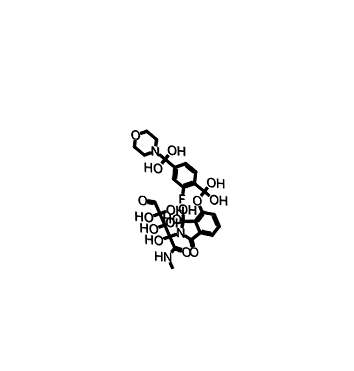 CNC(=O)C(O)(N1C(=O)c2cccc(OC(O)(O)c3ccc(C(O)(O)N4CCOCC4)cc3F)c2C1(O)O)C(O)(O)C(O)(O)C=O